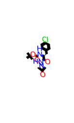 CC(C)(C)OC(=O)N[C@H](Cc1ccc(Cl)cc1)C(=O)NN1CC(=O)C1